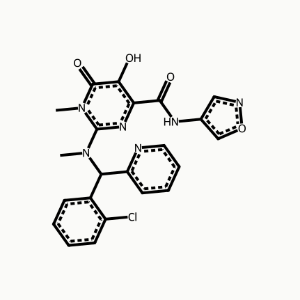 CN(c1nc(C(=O)Nc2cnoc2)c(O)c(=O)n1C)C(c1ccccn1)c1ccccc1Cl